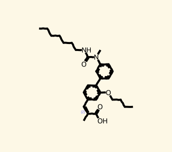 CCCCCCCNC(=O)N(C)c1cccc(-c2ccc(/C=C(/C)C(=O)O)cc2OCCCC)c1